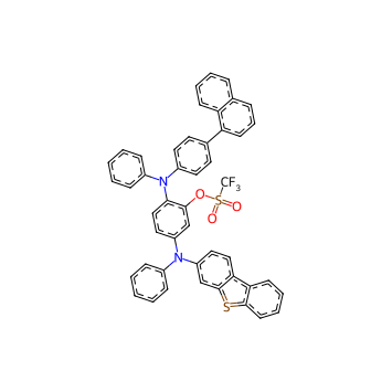 O=S(=O)(Oc1cc(N(c2ccccc2)c2ccc3c(c2)sc2ccccc23)ccc1N(c1ccccc1)c1ccc(-c2cccc3ccccc23)cc1)C(F)(F)F